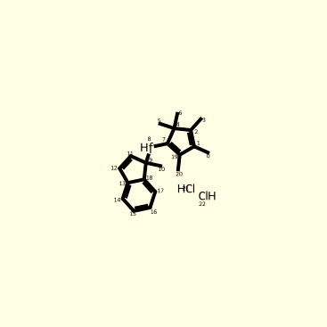 CC1=C(C)C(C)(C)[C]([Hf][C]2(C)C=Cc3ccccc32)=C1C.Cl.Cl